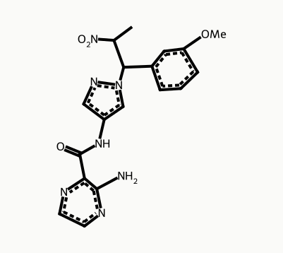 COc1cccc(C(C(C)[N+](=O)[O-])n2cc(NC(=O)c3nccnc3N)cn2)c1